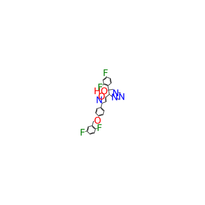 C[C@@H](c1cc(-c2ccc(OCc3cc(F)ccc3F)cc2)no1)[C@](O)(Cn1cncn1)c1ccc(F)cc1F